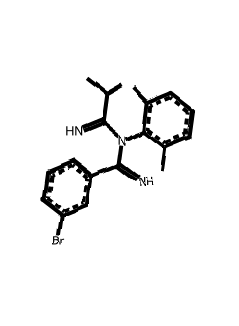 Cc1cccc(C)c1N(C(=N)c1cccc(Br)c1)C(=N)C(C)C